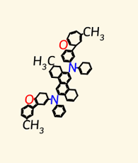 CC1=CC2C=C(C=C1)Oc1ccc(N(C3=CC=CCC3)c3cc4c5c(c(N(C6=Cc7c(oc8ccc(C)cc78)CC6)c6ccccc6)cc4c4c3CC(C)C=C4)C=CCC5)cc12